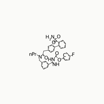 CCCN(Cc1cccc(C(=N)NC(=O)Oc2ccc(F)cc2)c1)C(=O)Cc1ccc(-c2ccccc2S(N)(=O)=O)cc1